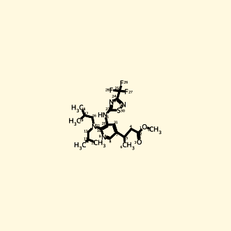 COC(=O)CC(C)c1cnc(N(CC(C)C)CC(C)C)c(Nc2nc(C(F)(F)F)ns2)c1